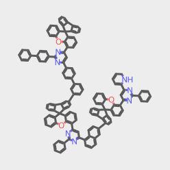 C1=CCNC(c2cc(-c3cccc4c3Oc3ccccc3C43c4ccccc4-c4c(-c5ccc6c(-c7cc(-c8cccc9c8Oc8ccccc8C98c9ccccc9-c9cc(-c%10cccc(-c%11ccc(-c%12cc(-c%13cccc%14c%13Oc%13ccccc%13C%14%13c%14ccccc%14-c%14ccccc%14%13)nc(-c%13ccc(-c%14ccccc%14)cc%13)n%12)cc%11)c%10)ccc98)nc(-c8ccccc8)n7)cccc6c5)cccc43)nc(-c3ccccc3)n2)=C1